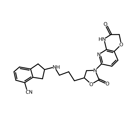 N#Cc1cccc2c1CC(NCCCC1CN(c3ccc4c(n3)NC(=O)CO4)C(=O)O1)C2